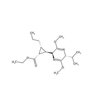 CCC[C@H]1[C@@H](C(=O)OCC)[C@@H]1[C@@H]1N=C(OC)[C@@H](C(C)C)N=C1OC